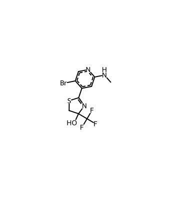 CNc1cc(C2=NC(O)(C(F)(F)F)CS2)c(Br)cn1